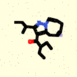 CCC(CC)C(=O)c1c(C(C)CC)nn2c1C/C=C\CC=C2